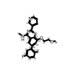 CNc1nc(-c2cccnc2)nc2c(OCCOC)cc(-c3cc(F)ccc3F)cc12